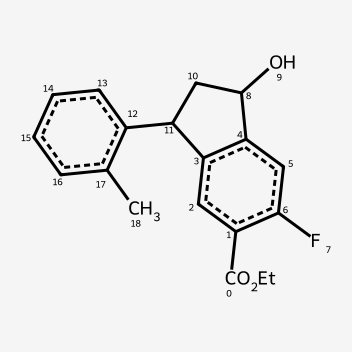 CCOC(=O)c1cc2c(cc1F)C(O)CC2c1ccccc1C